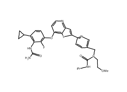 COCCN(Cc1ccc(-c2cc3nccc(Oc4ccc(C5CC5)c(NC(N)=O)c4F)c3s2)nc1)C(=O)NC(C)C